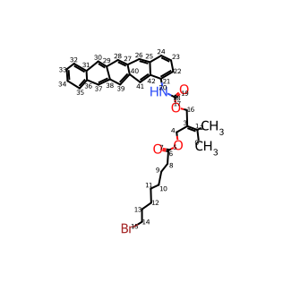 CC(C)=C(COC(=O)CCCCCCCBr)COC(=O)Nc1cccc2cc3cc4cc5ccccc5cc4cc3cc12